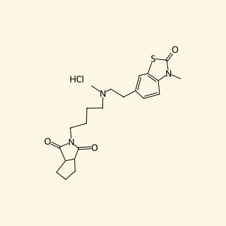 CN(CCCCN1C(=O)C2CCCC2C1=O)CCc1ccc2c(c1)sc(=O)n2C.Cl